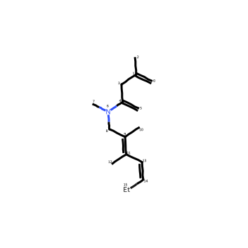 C=C(C)CC(=C)N(C)C/C(C)=C(C)/C=C\CC